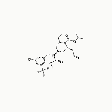 C=CC[C@H]1C[C@@H](N(Cc2cc(Cl)cc(C(F)(F)F)c2)C(=O)OC)C[C@@H](CC)N1C(=O)OC(C)C